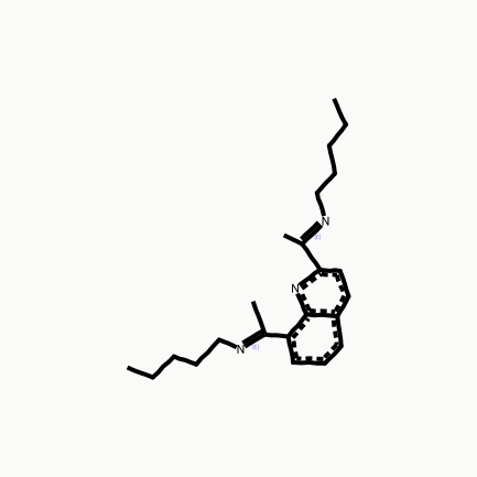 CCCCC/N=C(\C)c1ccc2cccc(/C(C)=N/CCCCC)c2n1